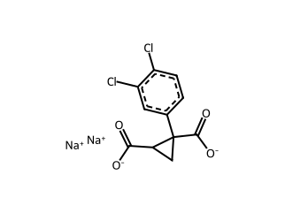 O=C([O-])C1CC1(C(=O)[O-])c1ccc(Cl)c(Cl)c1.[Na+].[Na+]